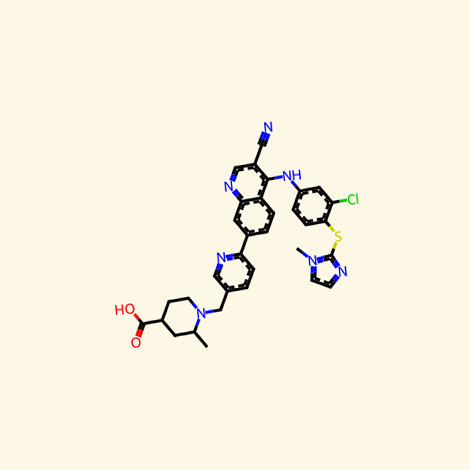 CC1CC(C(=O)O)CCN1Cc1ccc(-c2ccc3c(Nc4ccc(Sc5nccn5C)c(Cl)c4)c(C#N)cnc3c2)nc1